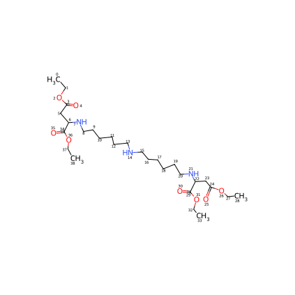 CCOC(=O)CC(NCCCCCCNCCCCCCNC(CC(=O)OCC)C(=O)OCC)C(=O)OCC